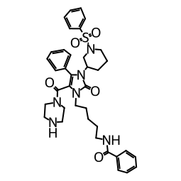 O=C(NCCCCCn1c(C(=O)N2CCNCC2)c(-c2ccccc2)n(C2CCCN(S(=O)(=O)c3ccccc3)C2)c1=O)c1ccccc1